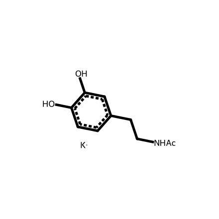 CC(=O)NCCc1ccc(O)c(O)c1.[K]